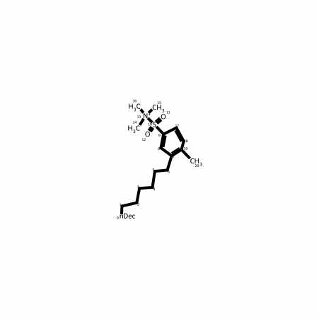 CCCCCCCCCCCCCCCCc1cc(S(=O)(=O)[N+](C)(C)C)ccc1C